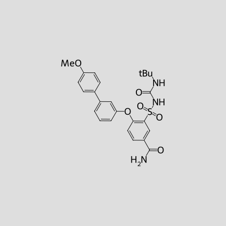 COc1ccc(-c2cccc(Oc3ccc(C(N)=O)cc3S(=O)(=O)NC(=O)NC(C)(C)C)c2)cc1